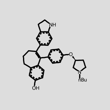 CCCCN1CC[C@H](Oc2ccc(C3=C(c4ccc5c(c4)CCN5)CCCc4cc(O)ccc43)cc2)C1